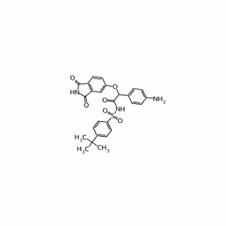 CC(C)(C)c1ccc(S(=O)(=O)NC(=O)C(Oc2ccc3c(c2)C(=O)NC3=O)c2ccc(N)cc2)cc1